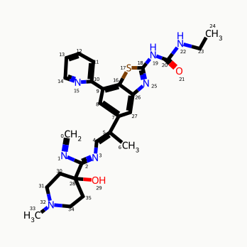 C=N/C(=N\C=C(/C)c1cc(-c2ccccn2)c2sc(NC(=O)NCC)nc2c1)C1(O)CCN(C)CC1